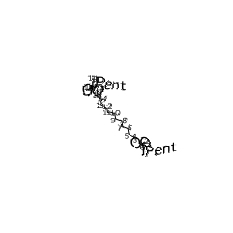 CCCC(C)C(=O)OCCCCCCCCCCCCOC(=O)C(C)CCC